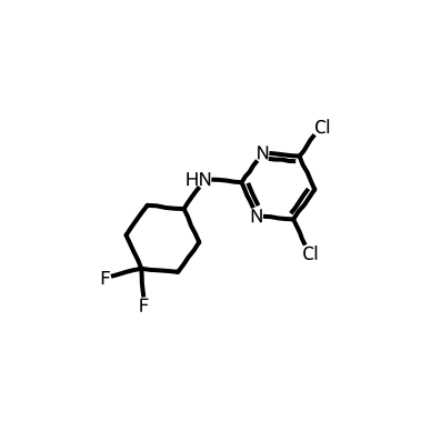 FC1(F)CCC(Nc2nc(Cl)cc(Cl)n2)CC1